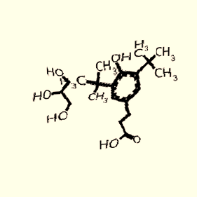 CC(C)(C)c1cc(CCC(=O)O)cc(C(C)(C)C)c1O.OCC(O)CO